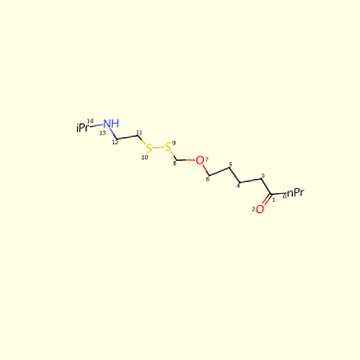 CCCC(=O)CCCCOCSSCCNC(C)C